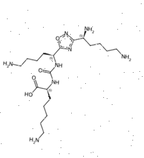 NCCCCC[C@H](NC(=O)N[C@@H](CCCCN)c1nc([C@@H](N)CCCCN)no1)C(=O)O